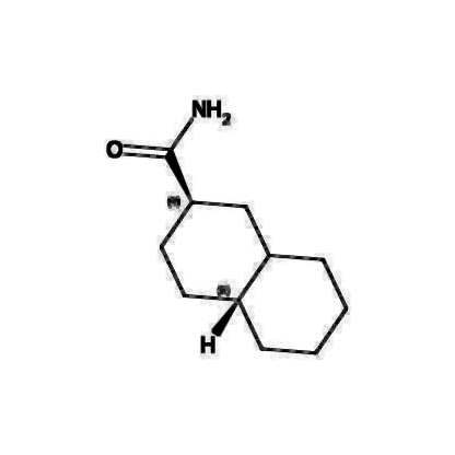 NC(=O)[C@@H]1CC[C@H]2CCCCC2C1